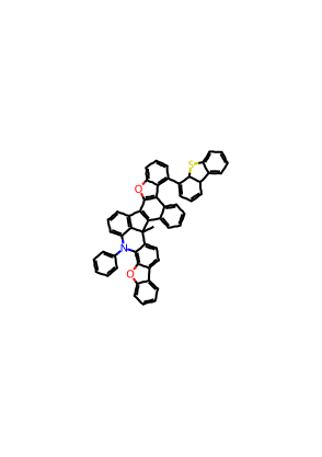 CC12c3ccc4c(oc5ccccc54)c3N(c3ccccc3)c3cccc(c31)-c1c2c2ccccc2c2c1oc1cccc(C3=CC=CC4c5ccccc5SC34)c12